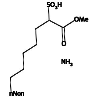 CCCCCCCCCCCCCCC(C(=O)OC)S(=O)(=O)O.N